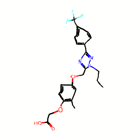 CCCn1nc(-c2ccc(C(F)(F)F)cc2)nc1COc1ccc(OCC(=O)O)c(C)c1